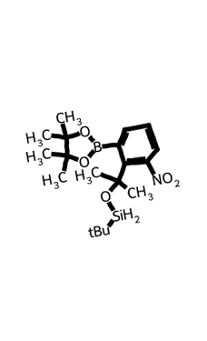 CC(C)(C)[SiH2]OC(C)(C)c1c(B2OC(C)(C)C(C)(C)O2)cccc1[N+](=O)[O-]